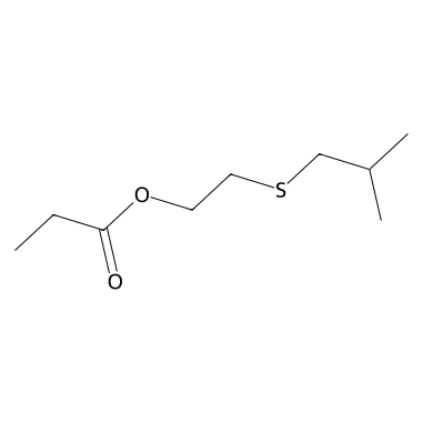 CCC(=O)OCCSCC(C)C